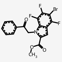 COC(=O)c1cc2c(F)c(Br)c(F)c(F)c2n1CC(=O)c1ccccc1